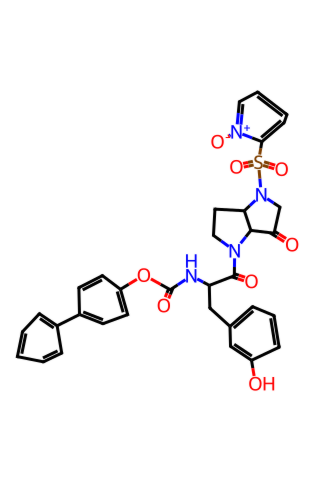 O=C(NC(Cc1cccc(O)c1)C(=O)N1CCC2C1C(=O)CN2S(=O)(=O)c1cccc[n+]1[O-])Oc1ccc(-c2ccccc2)cc1